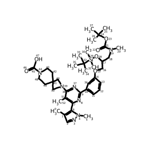 Cc1cnn(C)c1-c1nc(-c2cccc(OCC(CN(C)C(=O)OC(C)(C)C)O[Si](C)(C)C(C)(C)C)c2)nc(N2CC3(CCN(C(=O)O)CC3)C2)c1C